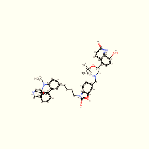 CC(C)(C)[Si](C)(C)O[C@@H](CNCc1ccc2c(c1)oc(=O)n2CCCCc1ccc(N(C(=O)O)C2CN3CCC2CC3)c(-c2ccccc2)c1)c1ccc(O)c2[nH]c(=O)ccc12